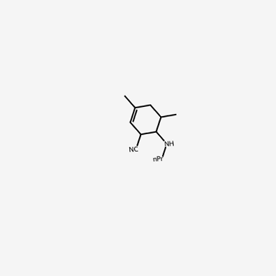 CCCNC1C(C#N)C=C(C)CC1C